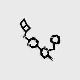 O=c1ccc(-c2ccc(NC3CC4CCC43)nc2)nn1Cc1cccnc1